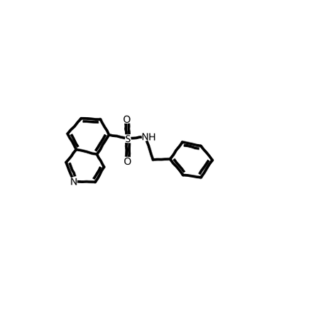 O=S(=O)(NCc1ccccc1)c1cccc2cnccc12